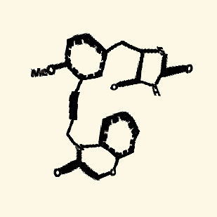 COc1ccc(CC2SC(=O)NC2=O)cc1C#CCN1C(=O)COc2ccccc21